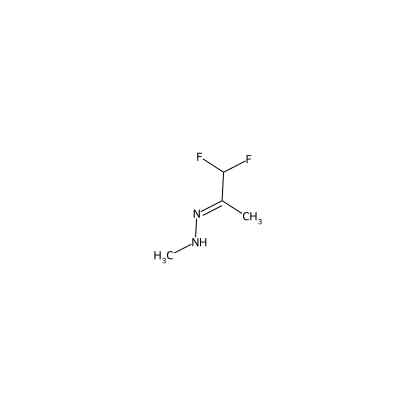 CN/N=C(\C)C(F)F